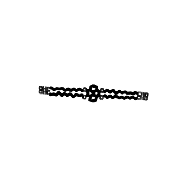 O=CCCCCCCCCCCCCOc1c(OCCCCCCCCCCCCC=O)c2cccc3c(OCCCCCCCCCCCCC=O)c(OCCCCCCCCCCCCC=O)c4cccc1c4c23